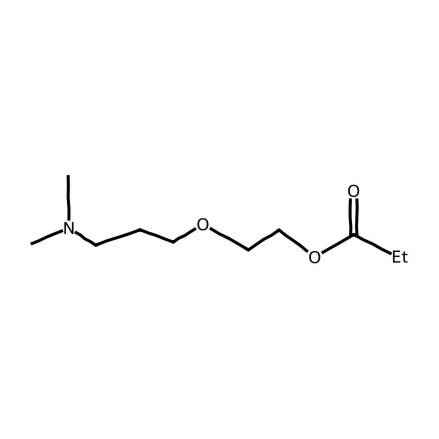 CCC(=O)OCCOCCCN(C)C